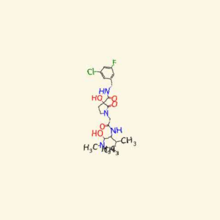 CC(C)C(NC(=O)CN1CCC(O)(C(=O)NCc2cc(F)cc(Cl)c2)C1=O)C(O)N(C)C